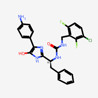 Nc1ccc(-c2nc([C@H](Cc3ccccc3)NC(=O)NCc3c(F)ccc(Cl)c3F)[nH]c2O)cc1